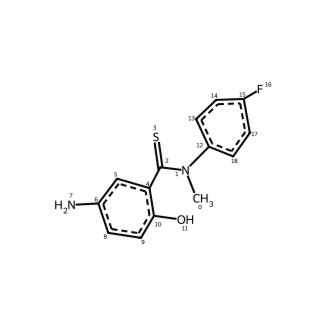 CN(C(=S)c1cc(N)ccc1O)c1ccc(F)cc1